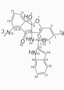 CC(C)c1ccc2c(c1)OC1(O)c3cccc([N+](=O)[O-])c3C(=O)C21NC(=O)c1cc2ccccc2[nH]1